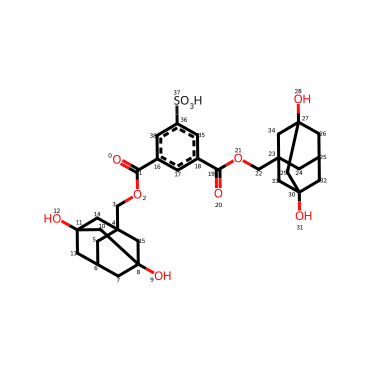 O=C(OCC12CC3CC(O)(CC(O)(C3)C1)C2)c1cc(C(=O)OCC23CC4CC(O)(CC(O)(C4)C2)C3)cc(S(=O)(=O)O)c1